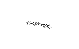 Cc1ccc(C(=O)Nc2cnc(N3CCN(c4ccccn4)CC3)cn2)nc1